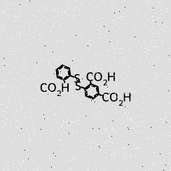 O=C(O)c1ccc(SSc2ccccc2C(=O)O)c(C(=O)O)c1